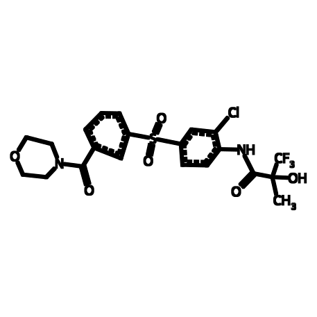 CC(O)(C(=O)Nc1ccc(S(=O)(=O)c2cccc(C(=O)N3CCOCC3)c2)cc1Cl)C(F)(F)F